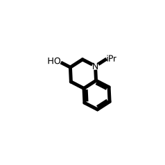 CC(C)N1CC(O)Cc2ccccc21